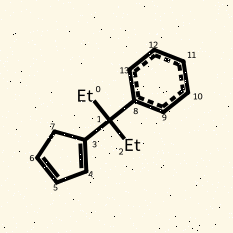 CCC(CC)(C1=CC=CC1)c1ccccc1